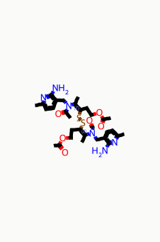 CC(=O)OCC/C(SS/C(CCOC(C)=O)=C(/C)N(Cc1ccc(C)nc1N)C(C)=O)=C(\C)N(C=O)Cc1ccc(C)nc1N